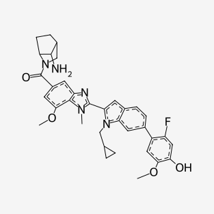 COc1cc(-c2ccc3cc(-c4nc5cc(C(=O)N6CC7CCC6C7N)cc(OC)c5n4C)n(CC4CC4)c3c2)c(F)cc1O